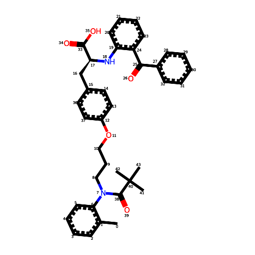 Cc1ccccc1N(CCCOc1ccc(C[C@H](Nc2ccccc2C(=O)c2ccccc2)C(=O)O)cc1)C(=O)C(C)(C)C